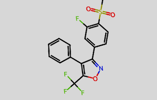 CS(=O)(=O)c1ccc(-c2noc(C(F)(F)F)c2-c2ccccc2)cc1F